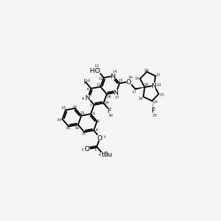 CC(C)(C)C(=O)Oc1cc(-c2nc(I)c3c(O)nc(OC[C@@]45CCCN4C[C@H](F)C5)nc3c2F)c2ccccc2c1